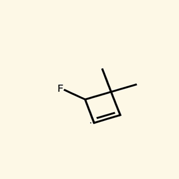 CC1(C)C=[C]C1F